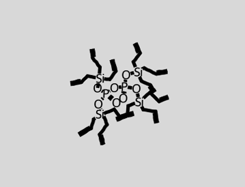 C=CC[Si](CC=C)(CC=C)OP(=O)(O[Si](CC=C)(CC=C)CC=C)OP(=O)(O[Si](CC=C)(CC=C)CC=C)O[Si](CC=C)(CC=C)CC=C